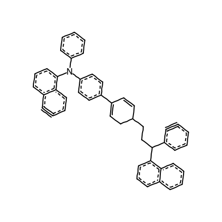 c1cccc(C(CCC2C=CC(c3ccc(N(c4ccccc4)c4cccc5c#cccc45)cc3)=CC2)c2cccc3ccccc23)c#1